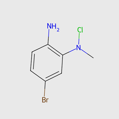 CN(Cl)c1cc(Br)ccc1N